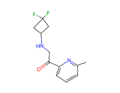 Cc1cccc(C(=O)CNC2CC(F)(F)C2)n1